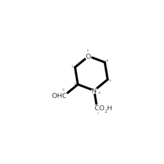 O=CC1COCCN1C(=O)O